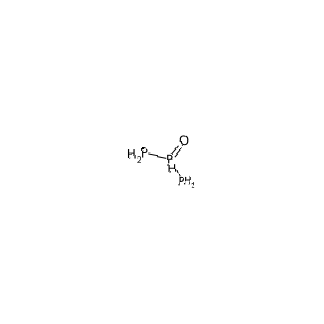 O=[PH](P)P